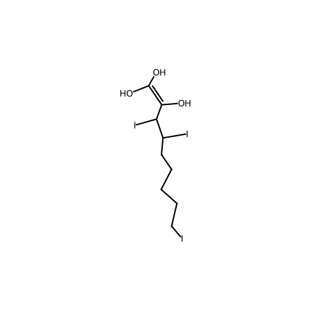 OC(O)=C(O)C(I)C(I)CCCCCI